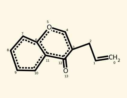 C=CCc1coc2ccccc2c1=O